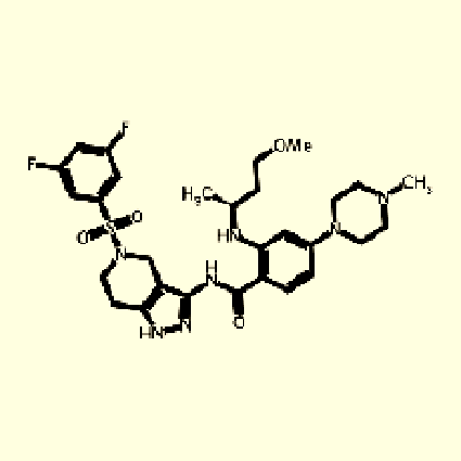 COCC[C@H](C)Nc1cc(N2CCN(C)CC2)ccc1C(=O)Nc1n[nH]c2c1CN(S(=O)(=O)c1cc(F)cc(F)c1)CC2